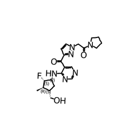 C[C@@H]1[C@@H](CO)C[C@@H](Nc2ncncc2C(=O)c2ccn(CC(=O)N3CCCC3)n2)[C@H]1F